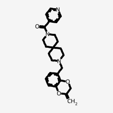 C=C1COc2c(CN3CCC4(CC3)CCN(C(=O)c3ccncc3)CC4)cccc2O1